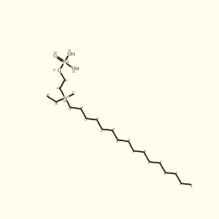 CCCCCCCCCCCCCCCC[N+](C)(CC)CCOP(=O)(O)O